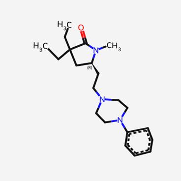 CCC1(CC)C[C@H](CCN2CCN(c3ccccc3)CC2)N(C)C1=O